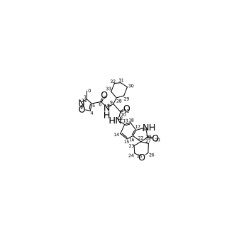 Cc1nocc1C(=O)N[C@H](C(=O)Nc1ccc2c(c1)NC(=O)C21CCOCC1)C1CCCCC1